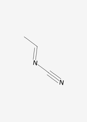 C/C=N/C#N